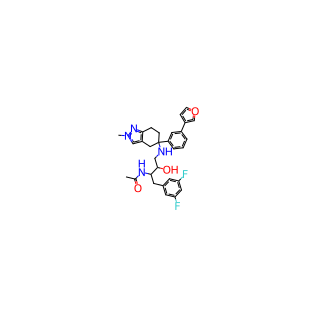 CC(=O)NC(Cc1cc(F)cc(F)c1)C(O)CNC1(c2cccc(-c3ccoc3)c2)CCc2nn(C)cc2C1